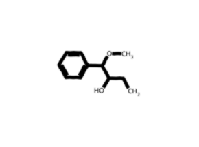 CCC(O)C(OC)c1ccccc1